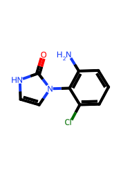 Nc1cccc(Cl)c1-n1cc[nH]c1=O